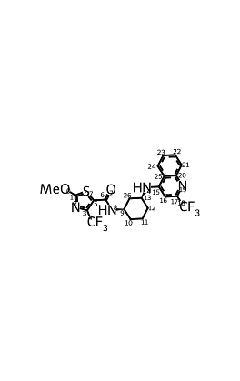 COc1nc(C(F)(F)F)c(C(=O)N[C@@H]2CCC[C@H](Nc3cc(C(F)(F)F)nc4ccccc34)C2)s1